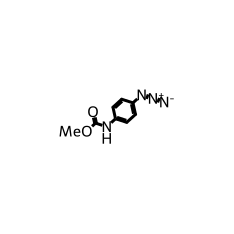 COC(=O)Nc1ccc(N=[N+]=[N-])cc1